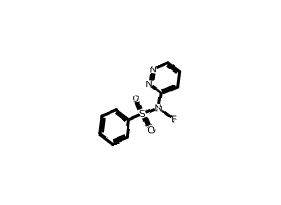 O=S(=O)(c1ccccc1)N(F)c1cccnn1